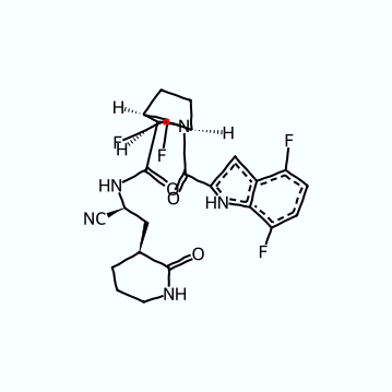 N#C[C@H](C[C@@H]1CCCNC1=O)NC(=O)[C@H]1[C@H]2CC[C@H](CC2(F)F)N1C(=O)c1cc2c(F)ccc(F)c2[nH]1